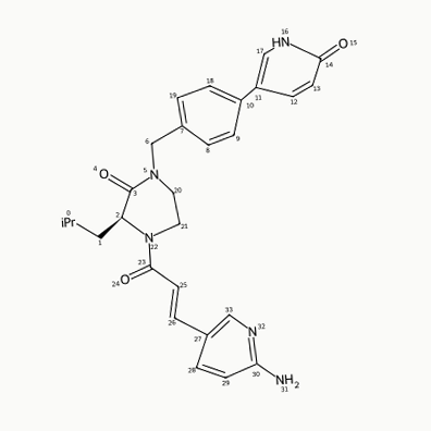 CC(C)C[C@H]1C(=O)N(Cc2ccc(-c3ccc(=O)[nH]c3)cc2)CCN1C(=O)C=Cc1ccc(N)nc1